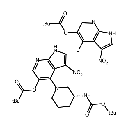 CC(C)(C)C(=O)Oc1cnc2[nH]cc([N+](=O)[O-])c2c1F.CC(C)(C)OC(=O)N[C@@H]1CCCN(c2c(OC(=O)C(C)(C)C)cnc3[nH]cc([N+](=O)[O-])c23)C1